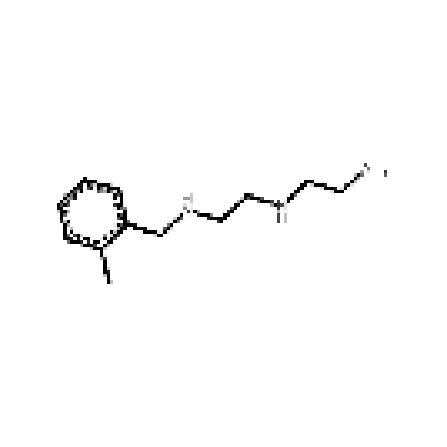 Cc1ccccc1CNCCNCCN